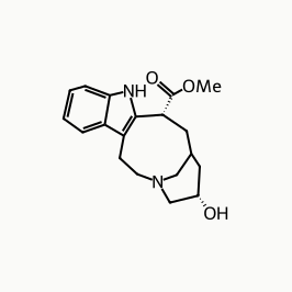 COC(=O)[C@@H]1CC2C[C@H](O)CN(CCc3c1[nH]c1ccccc31)C2